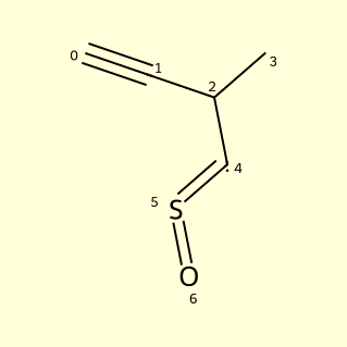 C#CC(C)[C]=S=O